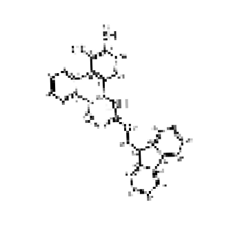 O=Cc1ccccc1-c1c(CNC(=O)OCC2c3ccccc3-c3ccccc32)ccc(S)c1Cl